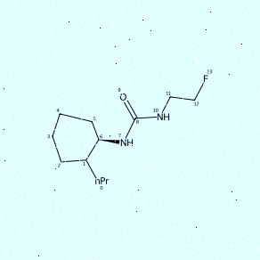 CCCC1CCCC[C@H]1NC(=O)NCCF